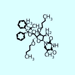 CCCCOC[C@@]1(CO[Si](c2ccccc2)(c2ccccc2)C(C)(C)C)O[C@@H](n2cc(C)c(=O)[nH]c2=O)C(N)C1OCCCC